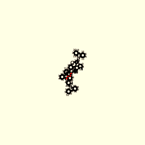 c1cnc2c(c1)C1(c3ccc(-n4c5ccccc5c5ccccc54)cc3Oc3ccc(-c4ccc5c(c4)c4ccccc4n5-c4ccc(-n5c6ccccc6c6ccccc65)nc4)cc31)c1cc(-n3c4ccccc4c4ccccc43)cnc1-2